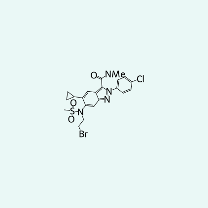 CNC(=O)c1c2cc(C3CC3)c(N(CCBr)S(C)(=O)=O)cc2nn1-c1ccc(Cl)cc1